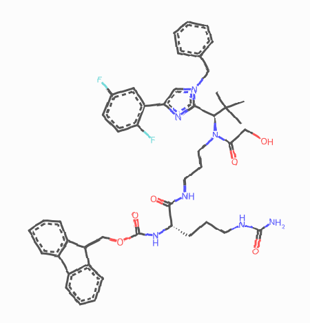 CC(C)(C)[C@H](c1nc(-c2cc(F)ccc2F)cn1Cc1ccccc1)N(CCCNC(=O)[C@H](CCCNC(N)=O)NC(=O)OCC1c2ccccc2-c2ccccc21)C(=O)CO